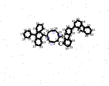 C=C1/C=C\C=C(\c2c3ccccc3c(-c3ccccc3)c3ccccc23)C/C=C\C=C/1n1c2ccccc2c2cc(-c3cccc4c3sc3ccccc34)ccc21